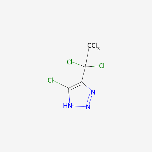 Clc1[nH]nnc1C(Cl)(Cl)C(Cl)(Cl)Cl